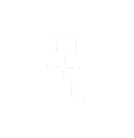 C=CCN[Si](C)(C)C1CCCCC1